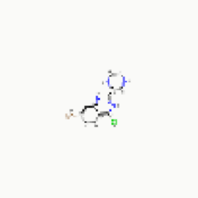 Clc1nc(-c2cnccn2)nc2cc(Br)ccc12